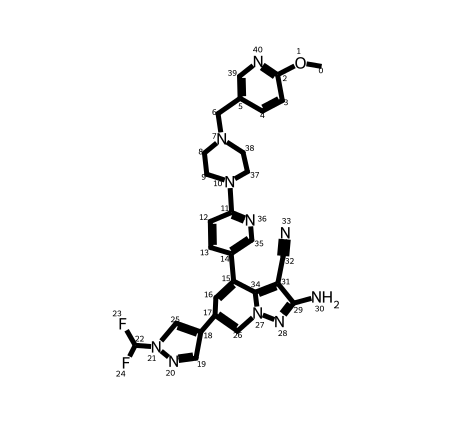 COc1ccc(CN2CCN(c3ccc(-c4cc(-c5cnn(C(F)F)c5)cn5nc(N)c(C#N)c45)cn3)CC2)cn1